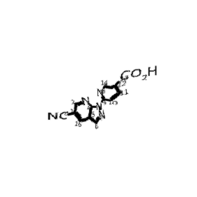 N#Cc1cnc2c(cnn2-c2ccc(C(=O)O)cn2)c1